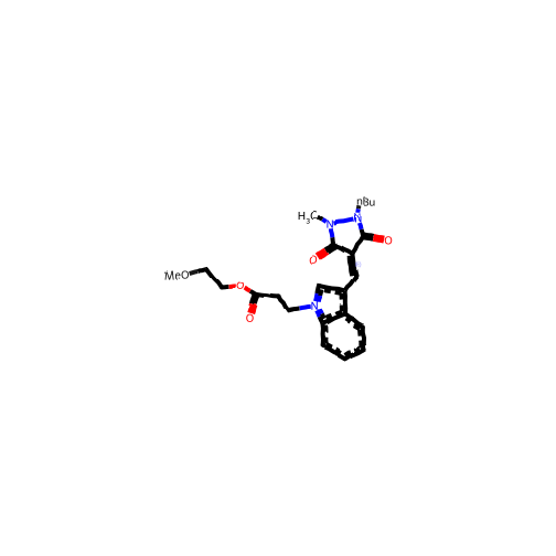 CCCCN1C(=O)/C(=C/c2cn(CCC(=O)OCCOC)c3ccccc23)C(=O)N1C